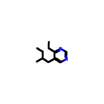 CCc1ncncc1CC(C)CC